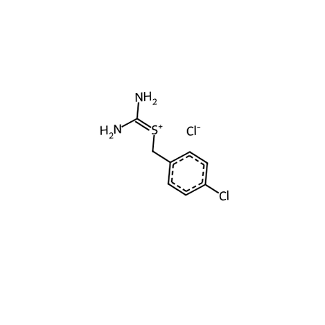 NC(N)=[S+]Cc1ccc(Cl)cc1.[Cl-]